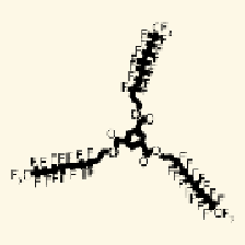 O=C(OCCC(F)(F)C(F)(F)C(F)(F)C(F)(F)C(F)(F)C(F)(F)C(F)(F)C(F)(F)F)c1cc(C(=O)OCCC(F)(F)C(F)(F)C(F)(F)C(F)(F)C(F)(F)C(F)(F)C(F)(F)C(F)(F)F)cc(C(=O)OCCC(F)(F)C(F)(F)C(F)(F)C(F)(F)C(F)(F)C(F)(F)C(F)(F)C(F)(F)F)c1